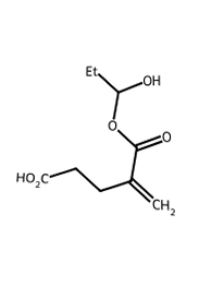 C=C(CCC(=O)O)C(=O)OC(O)CC